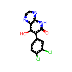 O=c1[nH]c2nccnc2c(O)c1-c1ccc(Cl)c(Cl)c1